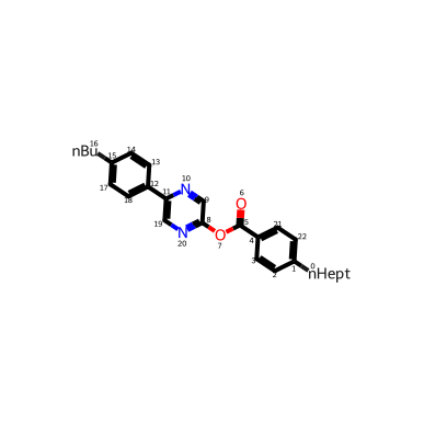 CCCCCCCc1ccc(C(=O)Oc2cnc(-c3ccc(CCCC)cc3)cn2)cc1